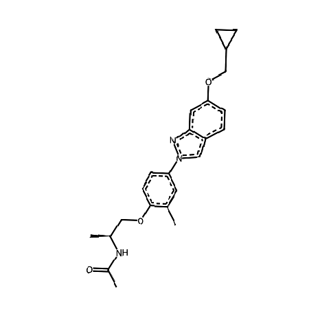 CC(=O)N[C@@H](C)COc1ccc(-n2cc3ccc(OCC4CC4)cc3n2)cc1C